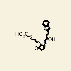 O=C(O)CSCCCS[C@H]1C(=O)CC[C@@H]1/C=C/[C@H](O)CCc1cc2ccccc2s1